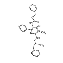 Cn1c(NC[C@H](N)Cc2ccccc2)nc(-c2ccncc2)c(NC(=O)OCc2ccccc2)c1=O